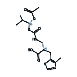 CC(=O)O[C@H](OC(=O)NC[C@H](Cc1sccc1C)C(=O)O)C(C)C